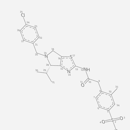 CCS(=O)(=O)c1ccc(CC(=O)Nc2nc3c(s2)CN(Cc2ccc(Cl)cc2)[C@H]3C(C)C)c(C)c1